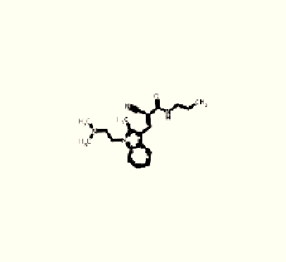 CCCNC(=O)/C(C#N)=C/c1c(C)n(CCN(C)C)c2ccccc12